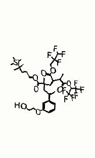 CC(CC(C)(CC(C(=O)OCC(F)(F)C(F)F)C(C)C(=O)OC(C(F)(F)F)C(F)(F)F)C(=O)OCCCC(C)(C)[Si](C)(C)C)c1cccc(OCCO)c1